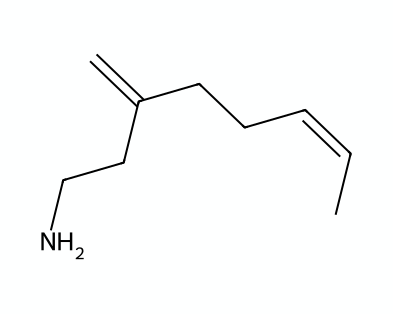 C=C(CCN)CC/C=C\C